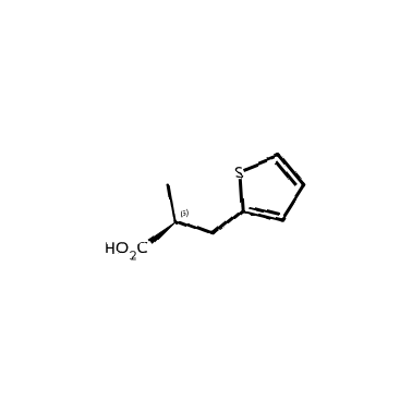 C[C@@H](Cc1cccs1)C(=O)O